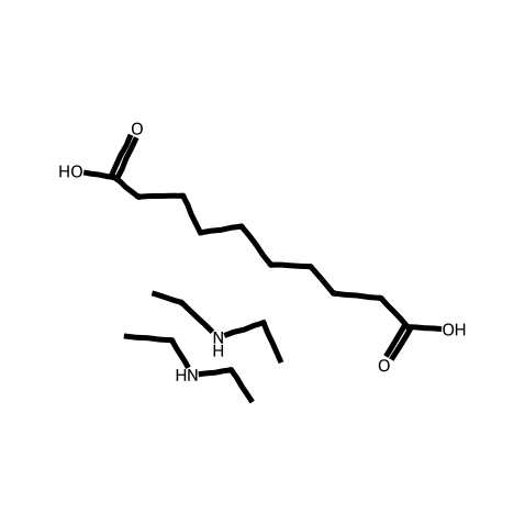 CCNCC.CCNCC.O=C(O)CCCCCCCCC(=O)O